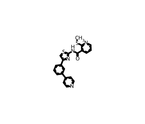 CSc1ncccc1C(=O)Nc1nc(-c2cccc(-c3ccncc3)c2)cs1